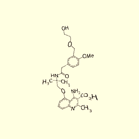 COc1ccc(CC(=O)NC(C)(C)COc2cccc3nc(C)c(C(=O)O)c(N)c23)cc1COCCO